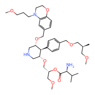 COCCCN1CCOc2ccc(CO[C@H]3CNC[C@@H](OC[C@@H](COC)OC(=O)[C@@H](N)C(C)C)[C@@H]3c3ccc(COC[C@@H](C)COC)cc3)cc21